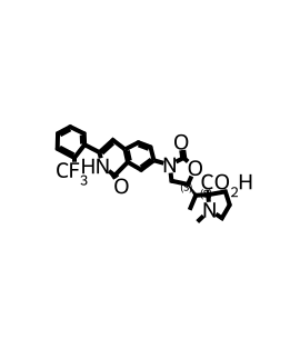 CC([C@H]1CN(c2ccc3cc(-c4ccccc4C(F)(F)F)[nH]c(=O)c3c2)C(=O)O1)[C@]1(C(=O)O)CCCN1C